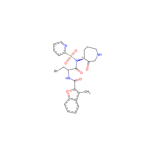 Cc1c(C(=O)NC(CC(C)C)C(=O)N([C@H]2CCCNCC2=O)S(=O)(=O)c2ccccn2)oc2ccccc12